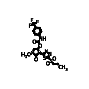 CCCS(=O)(=O)c1nnc(N2C(=O)N(C)CC2OC(=O)Nc2ccc(C(F)(F)F)cc2)s1